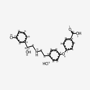 Cl.O=C(O)c1ccc(Oc2ccc(CCNC[C@H](O)c3cccc(Cl)c3)cc2)cc1